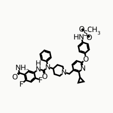 CS(=O)(=O)Nc1ccc(Oc2ccc(CN3CCC(N(C(=O)Nc4cc(C(N)=O)c(F)cc4F)c4ccccc4)CC3)c(C3CC3)n2)cc1